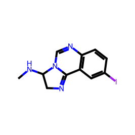 CNC1CN=C2c3cc(I)ccc3N=CN21